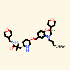 COCCCN1C[C@](C)(C2CCOCC2)Oc2ccc(CO[C@@H]3CC[C@@H](CC(C)(C)C(=O)NCC4CCOCC4)NC3)cc21